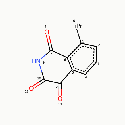 CC(C)c1cccc2c1C(=O)NC(=O)C2=O